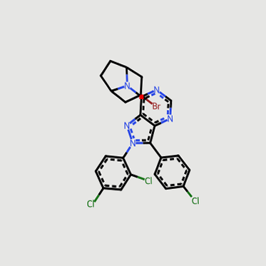 Clc1ccc(-c2c3ncnc(N4C5CCC4CC(Br)C5)c3nn2-c2ccc(Cl)cc2Cl)cc1